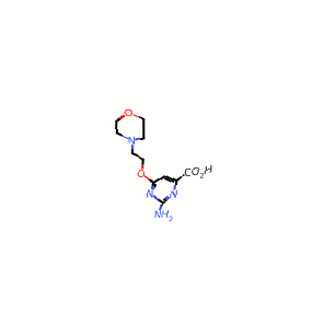 Nc1nc(OCCN2CCOCC2)cc(C(=O)O)n1